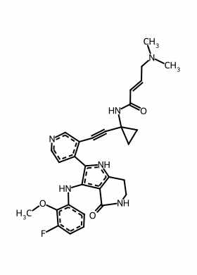 COc1c(F)cccc1Nc1c(-c2ccncc2C#CC2(NC(=O)/C=C/CN(C)C)CC2)[nH]c2c1C(=O)NCC2